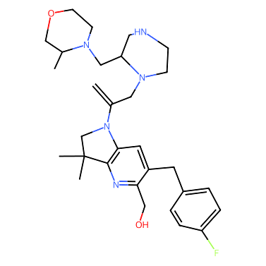 C=C(CN1CCNCC1CN1CCOCC1C)N1CC(C)(C)c2nc(CO)c(Cc3ccc(F)cc3)cc21